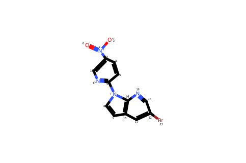 O=[N+]([O-])c1ccc(-n2ccc3cc(Br)cnc32)nc1